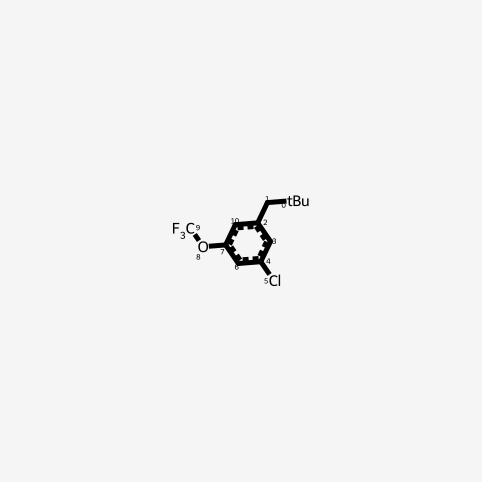 CC(C)(C)Cc1cc(Cl)cc(OC(F)(F)F)c1